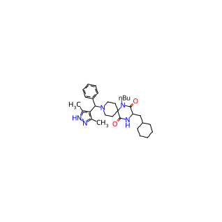 CCCCN1C(=O)C(CC2CCCCC2)NC(=O)C12CCN(C(c1ccccc1)c1c(C)n[nH]c1C)CC2